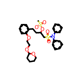 CS(=O)(=O)OC(CCc1ccccc1OCCOC1CCCCO1)CS(=O)(=O)N(c1ccccc1)c1ccccc1